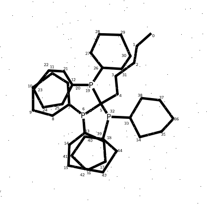 CCCCCC(P(C1CCCCC1)C1CCCCC1)(P(C1CCCCC1)C1CCCCC1)P(C1CCCCC1)C1CCCCC1